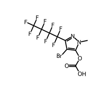 Cn1nc(C(F)(F)C(F)(F)C(F)(F)C(F)(F)F)c(Br)c1OC(=O)O